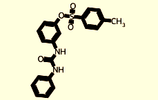 Cc1ccc(S(=O)(=O)Oc2cccc(NC(=O)Nc3ccccc3)c2)cc1